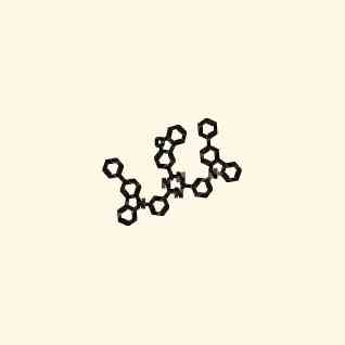 c1ccc(-c2ccc3c(c2)c2ccccc2n3-c2cccc(-c3nc(-c4cccc(-n5c6ccccc6c6cc(-c7ccccc7)ccc65)c4)nc(-c4ccc5oc6ccccc6c5c4)n3)c2)cc1